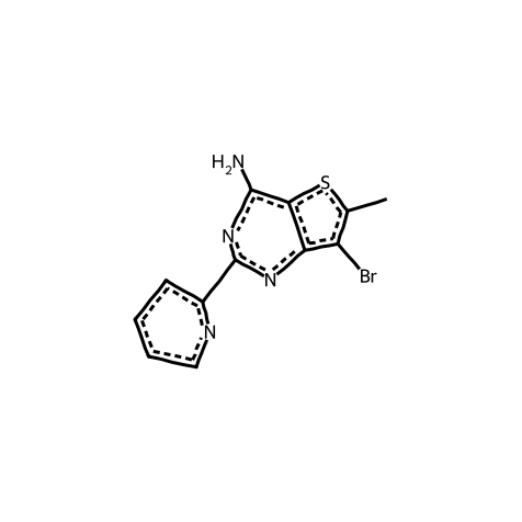 Cc1sc2c(N)nc(-c3ccccn3)nc2c1Br